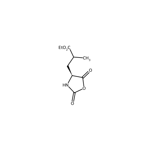 CCOC(=O)C(C)C[C@@H]1NC(=O)OC1=O